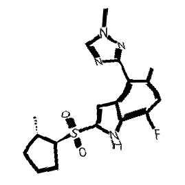 Cc1cc(F)c2[nH]c(S(=O)(=O)[C@H]3CCC[C@@H]3C)cc2c1-c1ncn(C)n1